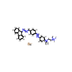 CCN(CC[N+](C)(C)C)c1ccc(N=Nc2ccc(/C=N/N=C3c4ccccc4-c4ccccc43)cc2)cc1.[Br-]